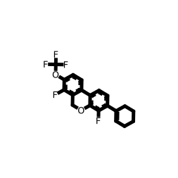 Fc1c(OC(F)(F)F)ccc2c1COc1c-2ccc(C2=CCCCC2)c1F